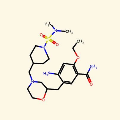 CCOc1cc(N)c(CC2CN(CC3CCN(S(=O)(=O)N(C)C)CC3)CCO2)cc1C(N)=O